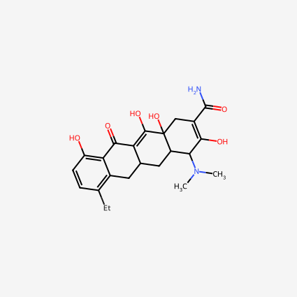 CCc1ccc(O)c2c1CC1CC3C(N(C)C)C(O)=C(C(N)=O)CC3(O)C(O)=C1C2=O